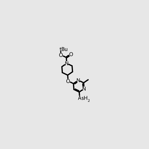 Cc1nc([AsH2])cc(OC2CCN(C(=O)OC(C)(C)C)CC2)n1